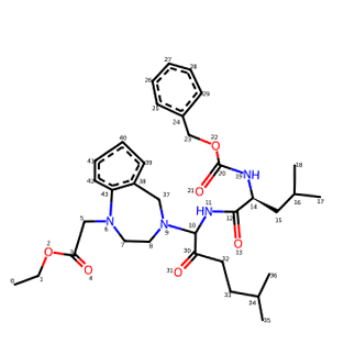 CCOC(=O)CN1CCN(C(NC(=O)[C@H](CC(C)C)NC(=O)OCc2ccccc2)C(=O)CCC(C)C)Cc2ccccc21